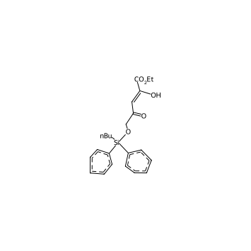 CCCC[Si](OCC(=O)C=C(O)C(=O)OCC)(c1ccccc1)c1ccccc1